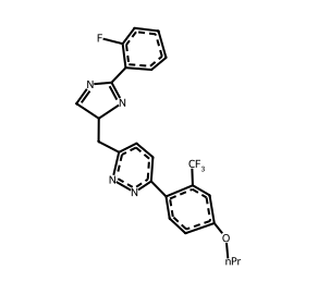 CCCOc1ccc(-c2ccc(CC3C=NC(c4ccccc4F)=N3)nn2)c(C(F)(F)F)c1